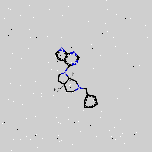 C[C@@]12CCN(Cc3ccccc3)C[C@@H]1N(c1ncnc3[nH]ccc13)CC2